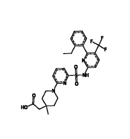 CCc1ccccc1-c1nc(NS(=O)(=O)c2cccc(N3CCC(C)(CC(=O)O)CC3)n2)ccc1C(F)(F)F